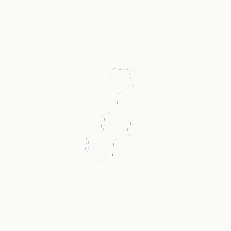 O=[N+]([O-])C1C=CC=CC1=COc1cc[nH]n1